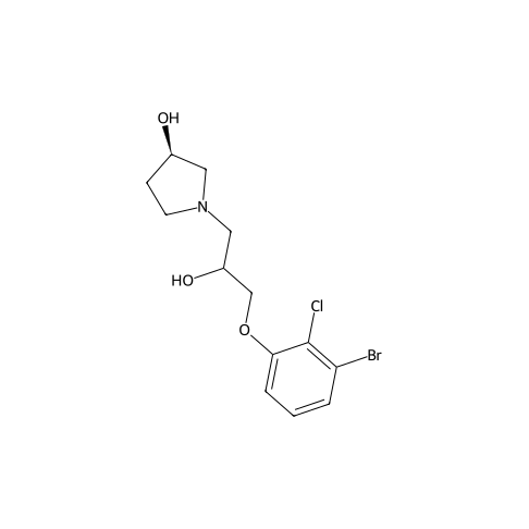 OC(COc1cccc(Br)c1Cl)CN1CC[C@@H](O)C1